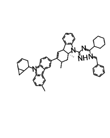 Cc1ccc2c(c1)c1cc(C3=CC4c5ccccc5N(C(=N)/N=C(\N=C\c5ccccc5)C5CCCCC5)[C@@]4(C)CC3C)ccc1n2C1CC=CC2CC21